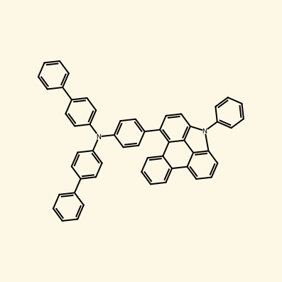 c1ccc(-c2ccc(N(c3ccc(-c4ccccc4)cc3)c3ccc(-c4ccc5c6c4c4ccccc4c4cccc(c46)n5-c4ccccc4)cc3)cc2)cc1